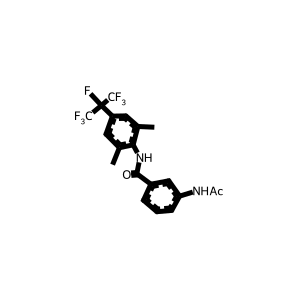 CC(=O)Nc1cccc(C(=O)Nc2c(C)cc(C(F)(C(F)(F)F)C(F)(F)F)cc2C)c1